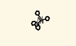 c1ccc(C2N=C(n3c4ccccc4c4ccccc43)N3C(c4ccccc4)N23)cc1